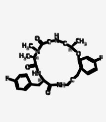 C[C@@H]1CNCC(=O)N(C)[C@H](C)C(=O)N[C@H](Cc2ccc(F)cc2)C(=O)NCCCc2ccc(F)cc2O1